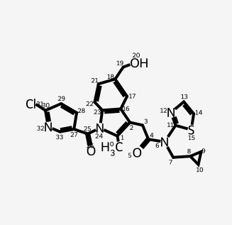 Cc1c(CC(=O)N(CC2CC2)c2nccs2)c2cc(CO)ccc2n1C(=O)c1ccc(Cl)nc1